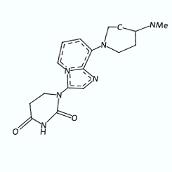 CNC1CCN(c2cccn3c(N4CCC(=O)NC4=O)cnc23)CC1